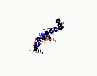 C=CC(=O)Nc1cc(Nc2nc(-c3ccnc(N4CCn5c(cc6c5CC(C)(C)C6)C4=O)c3CO)cn(C)c2=O)ccc1N1CCN(C2CCN(c3cccc4c3CN(C3CCCCC3)C4=O)CC2)C[C@@H]1C